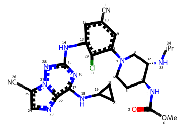 COC(=O)N[C@H]1CCN(c2cc(C#N)cc(Nc3nc(NC4CC4)c4ncc(C#N)n4n3)c2Cl)C[C@@H]1NC(C)C